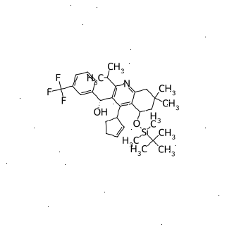 CC(C)c1nc2c(c(C3C=CCC3)c1[C@H](O)c1cccc(C(F)(F)F)c1)C(O[Si](C)(C)C(C)(C)C)CC(C)(C)C2